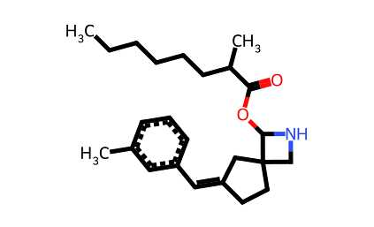 CCCCCCC(C)C(=O)OC1NCC12CCC(=Cc1cccc(C)c1)C2